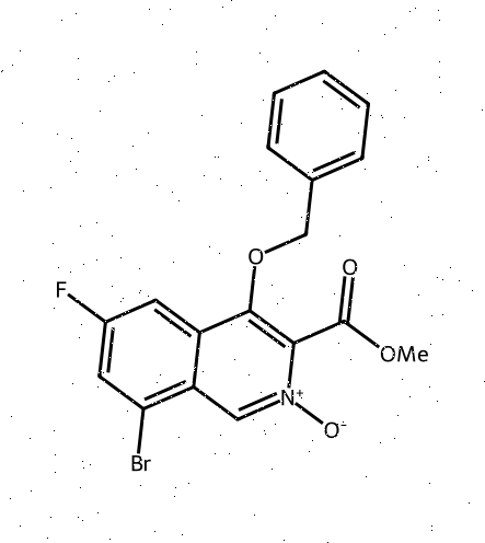 COC(=O)c1c(OCc2ccccc2)c2cc(F)cc(Br)c2c[n+]1[O-]